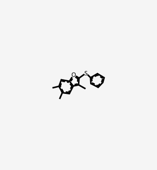 Cc1cc2oc(Sc3ccccc3)c(C)c2cc1C